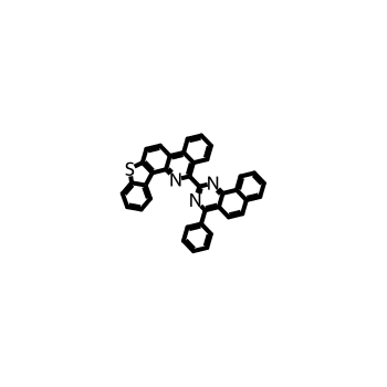 c1ccc(-c2nc(-c3nc4c(ccc5sc6ccccc6c54)c4ccccc34)nc3c2ccc2ccccc23)cc1